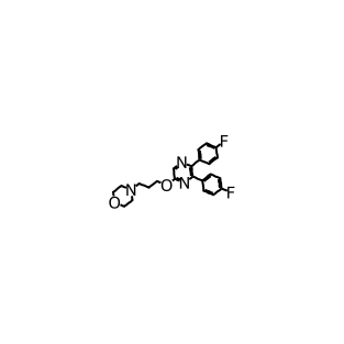 Fc1ccc(-c2ncc(OCCCN3CCOCC3)nc2-c2ccc(F)cc2)cc1